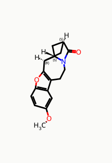 COc1ccc2oc3c(c2c1)CCN1C(=O)[C@H]2C[C@@H]3[C@@H]1C2